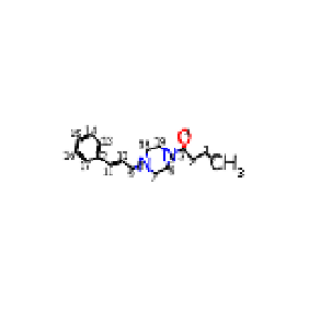 CCCC(=O)N1CCN(CC=Cc2ccccc2)CC1